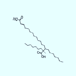 CCCCCCCC(CCCCCCCCCCCCC(=O)O)C(C)(CCCCCCC)C(=O)O